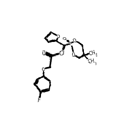 CC1(C)COP(=O)(C(OC(=O)COc2ccc(F)cc2)c2ccco2)OC1